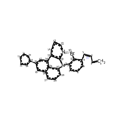 C=C/C=C\c1cccc(N2c3ncccc3-c3cc(-c4ccccc4)cc4cccc2c34)c1Br